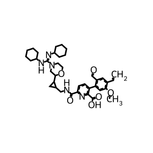 C=Cc1cc(C=O)c(-c2ccc(C(=O)NCC3CC3C3CN(/C(=N\C4CCCCC4)NC4CCCCC4)CCO3)nc2C(=O)O)cc1OC